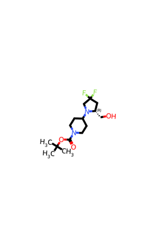 CC(C)(C)OC(=O)N1CCC(N2CC(F)(F)C[C@@H]2CO)CC1